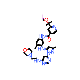 Cc1cc(Nc2cc(NC(=O)c3ccnc(C(C)(C)OCI)c3)ccc2C)n(-c2cc(NCCN3CCOCC3)ncn2)n1